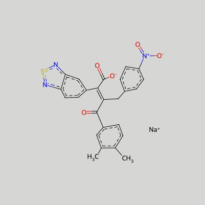 Cc1ccc(C(=O)C(Cc2ccc([N+](=O)[O-])cc2)=C(C(=O)[O-])c2ccc3nsnc3c2)cc1C.[Na+]